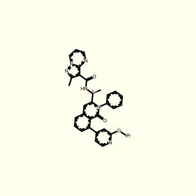 Cc1nn2cccnc2c1C(=O)N[C@@H](C)c1cc2cccc(-c3ccnc(OC(C)C)c3)c2c(=O)n1-c1ccccc1